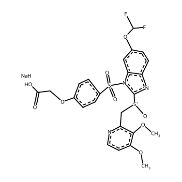 COc1ccnc(C[S+]([O-])c2nc3ccc(OC(F)F)cc3n2S(=O)(=O)c2ccc(OCC(=O)O)cc2)c1OC.[NaH]